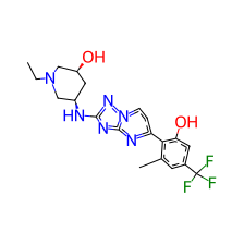 CCN1C[C@@H](O)C[C@@H](Nc2nc3nc(-c4c(C)cc(C(F)(F)F)cc4O)ccn3n2)C1